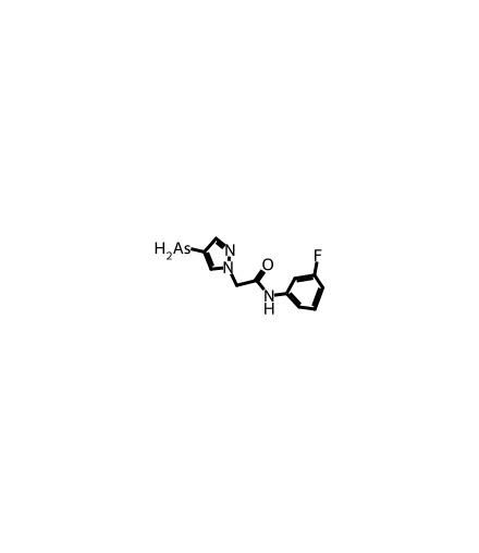 O=C(Cn1cc([AsH2])cn1)Nc1cccc(F)c1